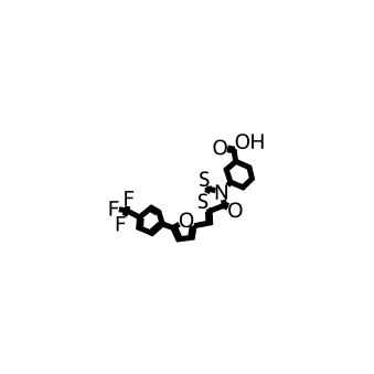 O=C(O)C1CCCC(N2C(=O)C(=Cc3ccc(-c4ccc(C(F)(F)F)cc4)o3)SC2=S)C1